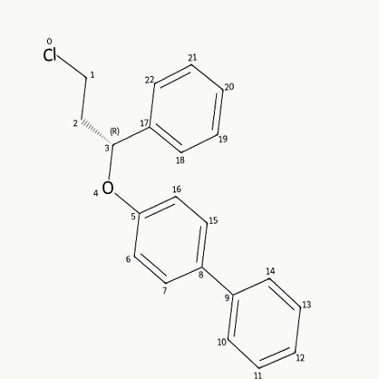 ClCC[C@@H](Oc1ccc(-c2ccccc2)cc1)c1ccccc1